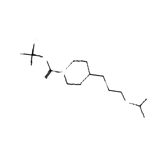 CC(F)OCCCC1CCN(C(=O)OC(C)(C)C)CC1